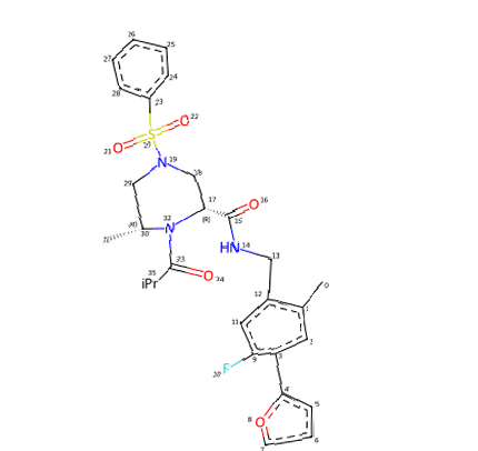 Cc1cc(-c2ccco2)c(F)cc1CNC(=O)[C@H]1CN(S(=O)(=O)c2ccccc2)C[C@@H](C)N1C(=O)C(C)C